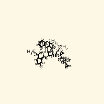 C=C[C@@H]1C[C@]1(NC(=O)[C@@H]1C[C@@H](Oc2ncc(OC)c3ccc(Cl)cc23)CN1C(=O)C(Nc1ccccc1F)C(C)(C)C)C(=O)NS(=O)(=O)C1CC1